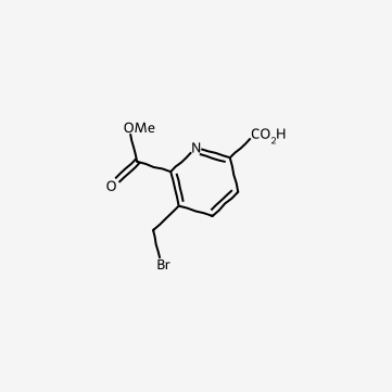 COC(=O)c1nc(C(=O)O)ccc1CBr